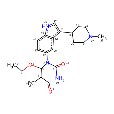 CCOC(C(C)C=O)N(C(N)=O)c1ccc2[nH]cc(C3CCN(C)CC3)c2c1